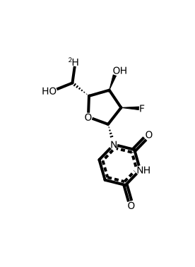 [2H]C(O)[C@H]1O[C@@H](n2ccc(=O)[nH]c2=O)[C@H](F)[C@@H]1O